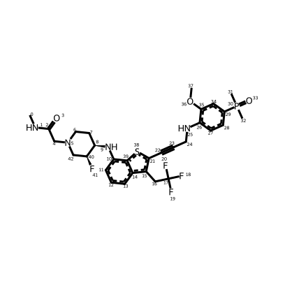 CNC(=O)CN1CC[C@@H](Nc2cccc3c(CC(F)(F)F)c(C#CCNc4ccc(P(C)(C)=O)cc4OC)sc23)[C@@H](F)C1